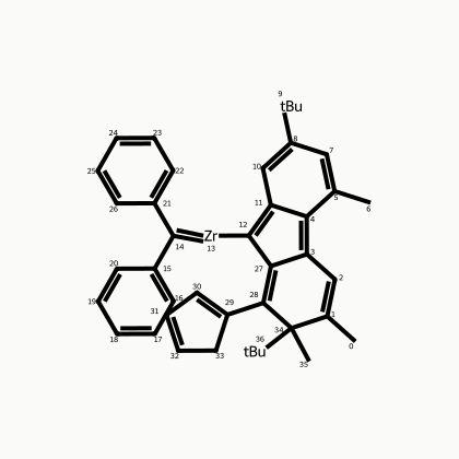 CC1=CC2=c3c(C)cc(C(C)(C)C)cc3=[C]([Zr]=[C](c3ccccc3)c3ccccc3)C2=C(C2=CC=CC2)C1(C)C(C)(C)C